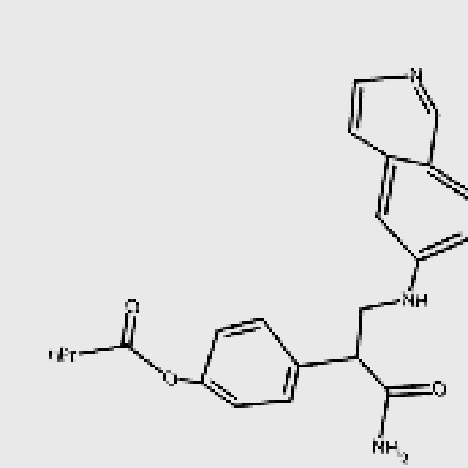 CCCC(=O)Oc1ccc(C(CNc2ccc3cnccc3c2)C(N)=O)cc1